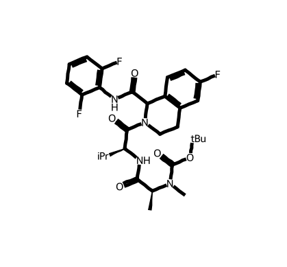 CC(C)[C@H](NC(=O)[C@H](C)N(C)C(=O)OC(C)(C)C)C(=O)N1CCc2cc(F)ccc2C1C(=O)Nc1c(F)cccc1F